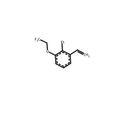 C=[C]c1cccc(OCC(F)(F)F)c1CC